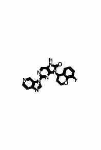 O=c1[nH]c2cnc(-n3cnc4ccncc43)nc2n1C1CCOc2c(F)cccc21